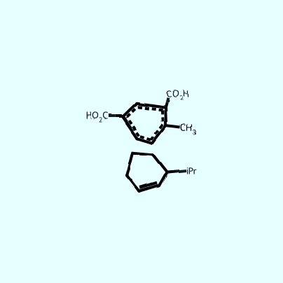 CC(C)C1C=CCCC1.Cc1ccc(C(=O)O)cc1C(=O)O